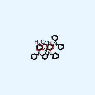 CC1(C)c2ccccc2N(c2c(N(c3ccccc3)c3ccccc3)cccc2N(c2ccccc2)c2ccccc2)c2ccc(N(c3ccccc3)c3ccccc3)cc21